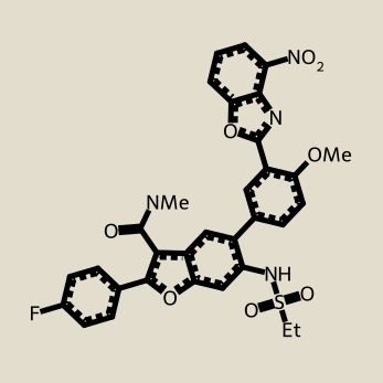 CCS(=O)(=O)Nc1cc2oc(-c3ccc(F)cc3)c(C(=O)NC)c2cc1-c1ccc(OC)c(-c2nc3c([N+](=O)[O-])cccc3o2)c1